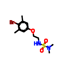 Cc1cc(OCCNS(=O)(=O)N(C)C)cc(C)c1Br